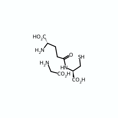 NCC(=O)O.N[C@@H](CCC(=O)N[C@@H](CS)C(=O)O)C(=O)O